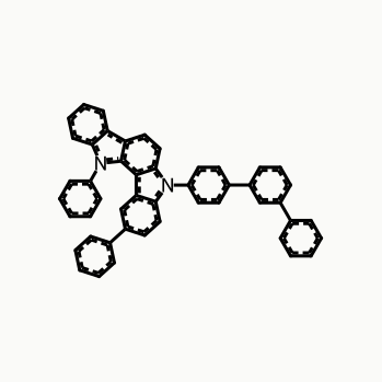 c1ccc(-c2cccc(-c3ccc(-n4c5ccc(-c6ccccc6)cc5c5c4ccc4c6ccccc6n(-c6ccccc6)c45)cc3)c2)cc1